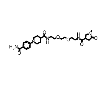 CN1CC(C(=O)NCCOCCOCCNC(=O)C2CCN(c3ccc(C(N)=O)cc3)CC2)CC1=O